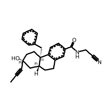 CC#C[C@@]1(O)CC[C@@]2(Cc3ccccc3)c3ccc(C(=O)NCC#N)cc3CC[C@@H]2C1